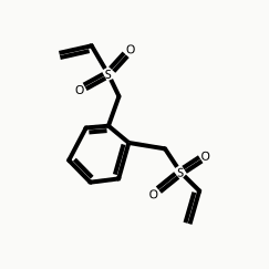 C=CS(=O)(=O)Cc1ccccc1CS(=O)(=O)C=C